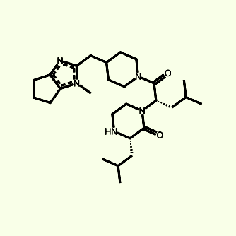 CC(C)C[C@@H]1NCCN([C@@H](CC(C)C)C(=O)N2CCC(Cc3nc4c(n3C)CCC4)CC2)C1=O